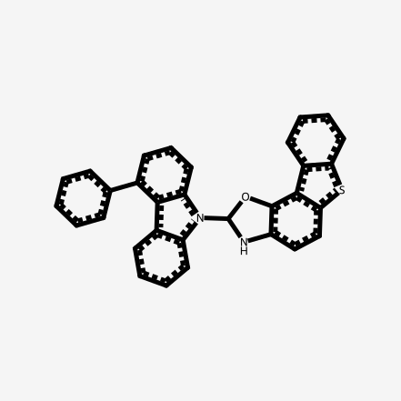 c1ccc(-c2cccc3c2c2ccccc2n3C2Nc3ccc4sc5ccccc5c4c3O2)cc1